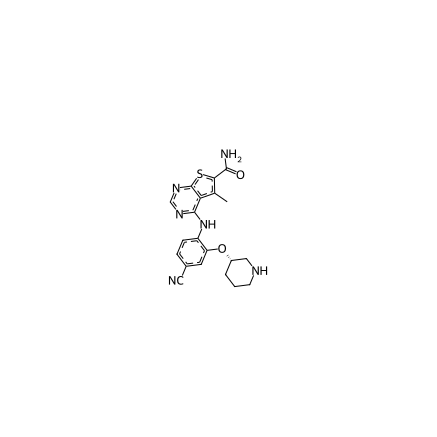 Cc1c(C(N)=O)sc2ncnc(Nc3ccc(C#N)cc3O[C@H]3CCCNC3)c12